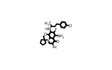 CC(=O)c1cn2c3c(c(NC(C)CCc4ccc(Cl)cc4)c(F)c(N)c3c1=O)OCC21CCCC1